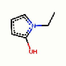 CCn1cccc1O